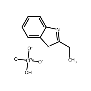 CCc1nc2ccccc2s1.[O-][Cl+3]([O-])([O-])O